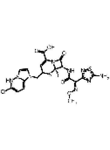 CO/N=C(\C(=O)N[C@@H]1C(=O)N2C(C(=O)O)=CC(CN3C=CN4NC(Cl)=CC=C34)S[C@@H]12)c1nsc(N)n1